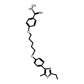 CCc1nc(-c2ccc(OCCCCCOc3ccc(C(=N)NO)cc3)cc2)c(C)s1